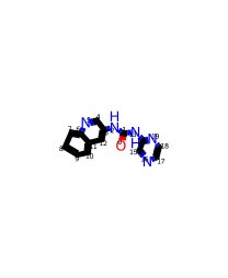 O=C(Nc1cnc2ccccc2c1)Nc1cnccn1